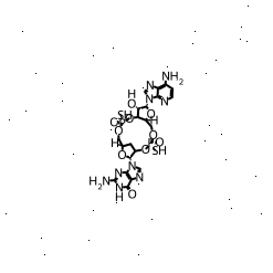 Nc1nc2c(ncn2[C@@H]2O[C@@H]3CO[P@@](=O)(S)OC4[C@@H](CO[P@@](=O)(S)OC2C3)O[C@@H](n2cnc3c(N)ccnc32)[C@H]4O)c(=O)[nH]1